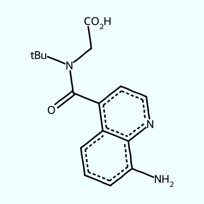 CC(C)(C)N(CC(=O)O)C(=O)c1ccnc2c(N)cccc12